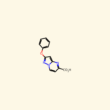 O=C(O)c1ccn2nc(Oc3ccccc3)cc2n1